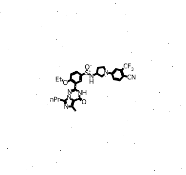 CCCc1nc(C)c2c(=O)[nH]c(-c3cc([S+]([O-])NC4CCN(c5ccc(C#N)c(C(F)(F)F)c5)C4)ccc3OCC)nn12